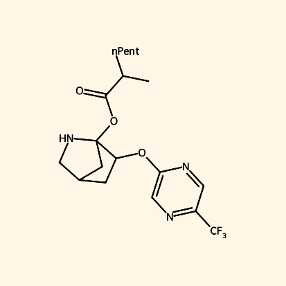 CCCCCC(C)C(=O)OC12CC(CN1)CC2Oc1cnc(C(F)(F)F)cn1